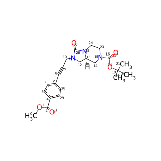 COC(=O)c1ccc(C#CCN2C[C@@H]3CN(C(=O)OC(C)(C)C)CCN3C2=O)cc1